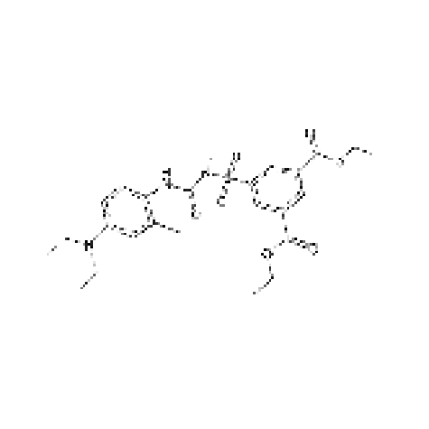 CCOC(=O)c1cc(C(=O)OCC)cc(S(=O)(=O)NC(=O)Nc2ccc(N(CC)CC)cc2C)c1